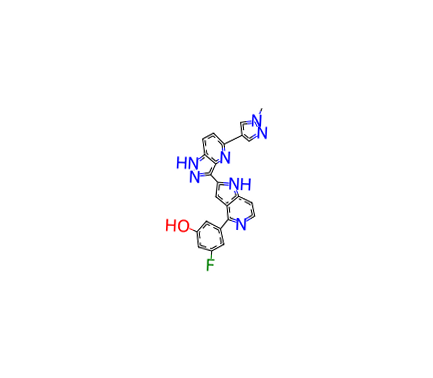 Cn1cc(-c2ccc3[nH]nc(-c4cc5c(-c6cc(O)cc(F)c6)nccc5[nH]4)c3n2)cn1